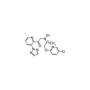 CCN(CC(=O)c1ncccc1-n1nccn1)[C@@H](C)COc1ccc(Cl)cn1